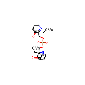 COC[C@]1(COS(=O)(=O)OC[C@@]2(COC)C(=O)C3CCN2CC3)C(=O)C2CCN1CC2